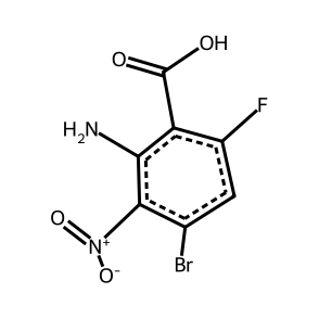 Nc1c(C(=O)O)c(F)cc(Br)c1[N+](=O)[O-]